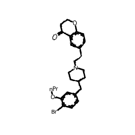 CCCOc1cc(CC2CCN(CCc3ccc4c(c3)C(=O)CCO4)CC2)ccc1Br